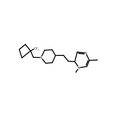 CC1=CN(C)C(CCC2CCN(CC3(C(F)(F)F)CCC3)CC2)C=N1